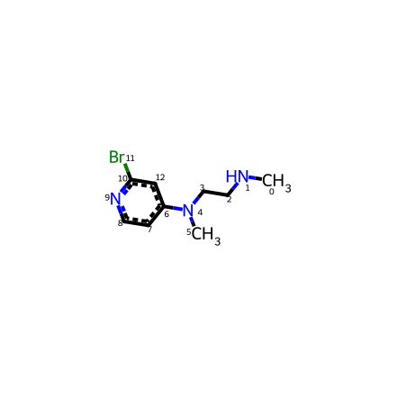 CNCCN(C)c1ccnc(Br)c1